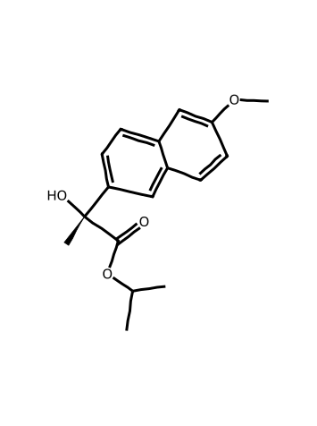 COc1ccc2cc([C@@](C)(O)C(=O)OC(C)C)ccc2c1